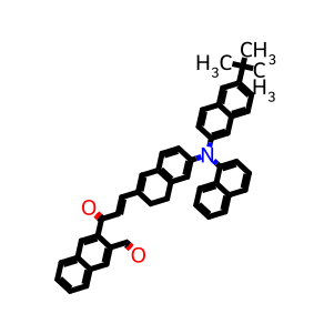 CC(C)(C)c1ccc2cc(N(c3ccc4c(c3)CCC(/C=C/C(=O)c3cc5ccccc5cc3C=O)=C4)c3cccc4ccccc34)ccc2c1